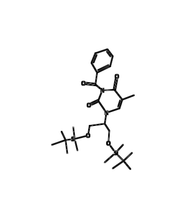 Cc1cn(C(CO[Si](C)(C)C(C)(C)C)CO[Si](C)(C)C(C)(C)C)c(=O)n(C(=O)c2ccccc2)c1=O